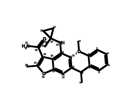 COc1ccccc1C(C)c1nc(NC2(C)CC2)c2c(C(N)=O)c(C)oc2n1